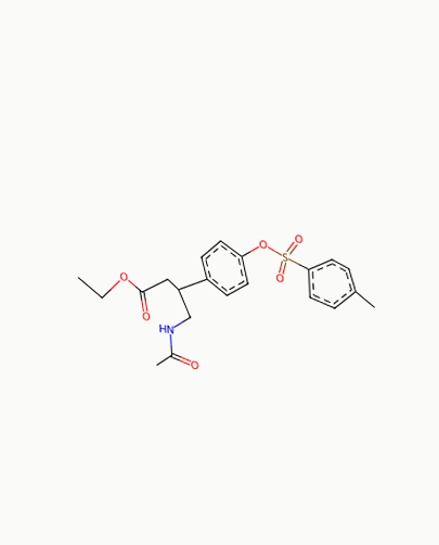 CCOC(=O)CC(CNC(C)=O)c1ccc(OS(=O)(=O)c2ccc(C)cc2)cc1